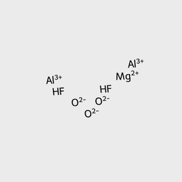 F.F.[Al+3].[Al+3].[Mg+2].[O-2].[O-2].[O-2]